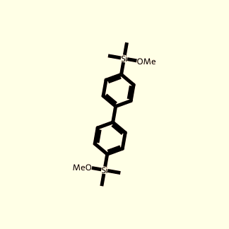 CO[Si](C)(C)c1ccc(-c2ccc([Si](C)(C)OC)cc2)cc1